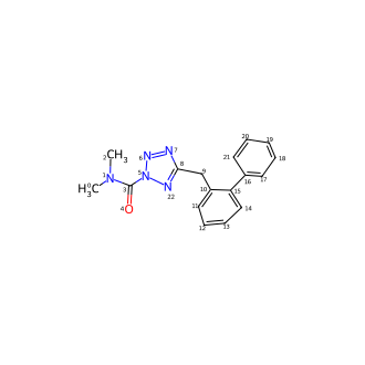 CN(C)C(=O)n1nnc(Cc2ccccc2-c2ccccc2)n1